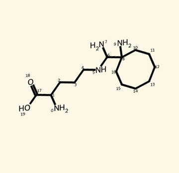 NC(CCCNC(N)C1(N)CCCCCCC1)C(=O)O